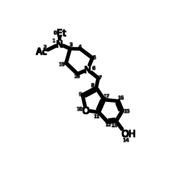 CCN(C(C)=O)C1CCN(Cc2coc3cc(O)ccc23)CC1